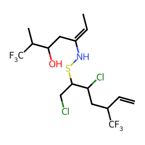 C=CC(CC(Cl)C(CCl)SN/C(=C/C)CC(O)C(C)C(F)(F)F)C(F)(F)F